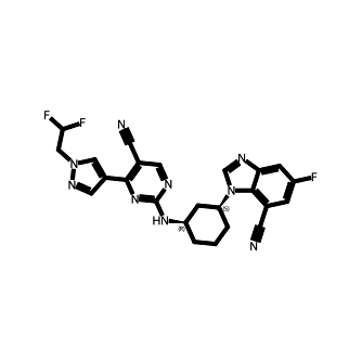 N#Cc1cnc(N[C@@H]2CCC[C@H](n3cnc4cc(F)cc(C#N)c43)C2)nc1-c1cnn(CC(F)F)c1